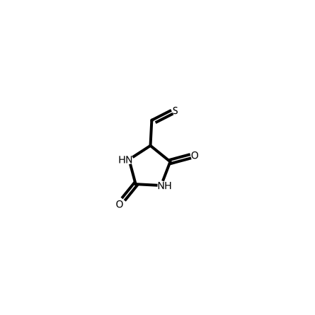 O=C1NC(=O)C(C=S)N1